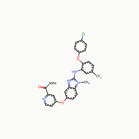 CNC(=O)c1cc(Oc2ccc3c(c2)nc(Nc2cc(C(F)(F)F)ccc2Oc2ccc(Cl)cc2)n3C)ccn1